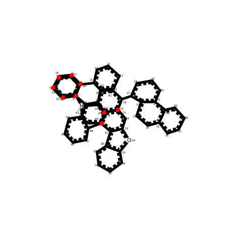 c1ccc(-c2ccccc2-c2ccccc2-c2ccccc2N(c2ccc(-c3cccc4c3ccc3ccccc34)cc2)c2ccccc2-c2cccc3oc4ccccc4c23)cc1